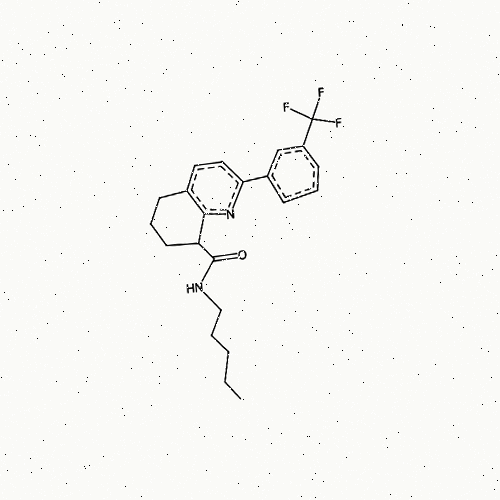 CCCCCNC(=O)C1CCCc2ccc(-c3cccc(C(F)(F)F)c3)nc21